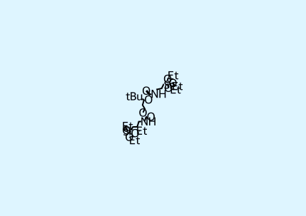 CCO[Si](CCCNC(=O)OCCC(OC(=O)NCCC[Si](OCC)(OCC)OCC)C(C)(C)C)(OCC)OCC